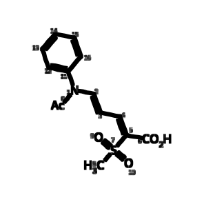 CC(=O)N(C=CC=C(C(=O)O)S(C)(=O)=O)c1ccccc1